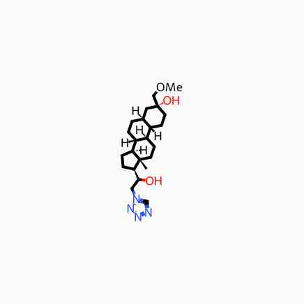 COC[C@@]1(O)CC[C@H]2[C@@H](CC[C@@H]3[C@@H]2CC[C@]2(C)[C@@H](C(O)Cn4cnnn4)CC[C@@H]32)C1